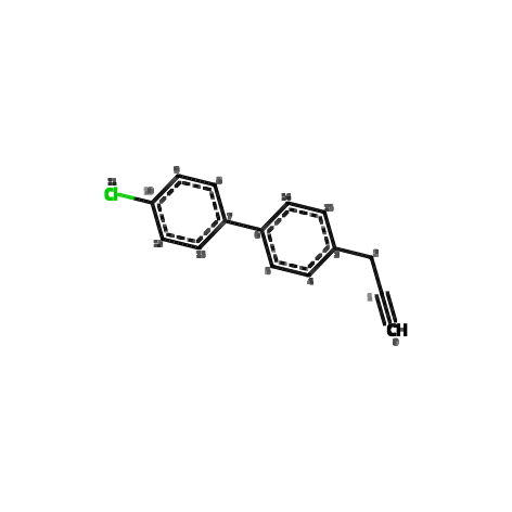 C#CCc1ccc(-c2ccc(Cl)cc2)cc1